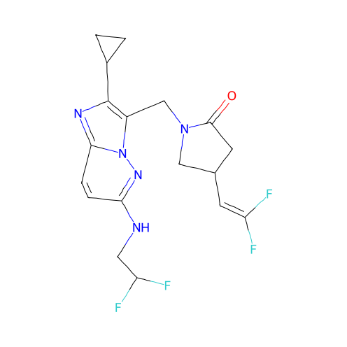 O=C1CC(C=C(F)F)CN1Cc1c(C2CC2)nc2ccc(NCC(F)F)nn12